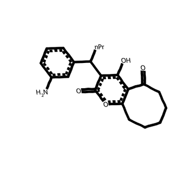 CCCC(c1cccc(N)c1)c1c(O)c2c(oc1=O)CCCCCC2=O